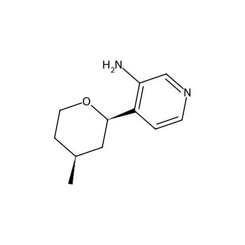 C[C@H]1CCO[C@@H](c2ccncc2N)C1